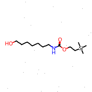 C[Si](C)(C)CCOC(=O)NCCCCCCCO